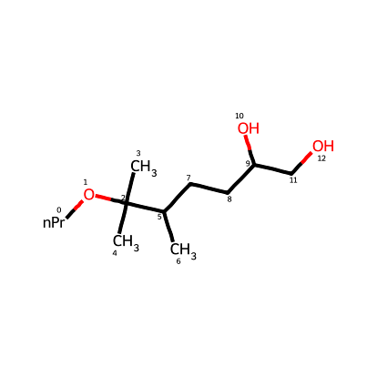 CCCOC(C)(C)C(C)CCC(O)CO